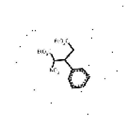 CCOC(=O)CC(c1ccccc1)C(C(=O)OCC)[N+](=O)[O-]